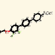 C=CCOc1ccc(-c2ccc(C3CCC(CCCCCCCC)CC3)cc2)c(F)c1F